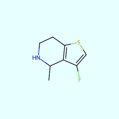 CC1NCCc2scc(F)c21